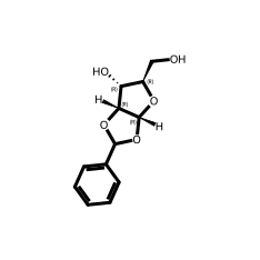 OC[C@H]1O[C@@H]2OC(c3ccccc3)O[C@@H]2[C@@H]1O